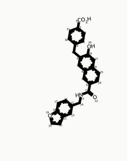 O=C(O)c1ccc(Cc2cc3cc(C(=O)NCc4ccc5occc5c4)ccc3cc2O)cc1